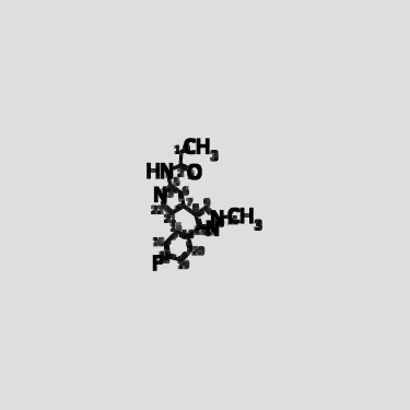 CCC(=O)Nc1cc(-c2cn(C)nc2-c2ccc(F)cc2)ccn1